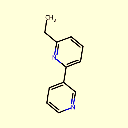 CCc1cccc(-c2cccnc2)n1